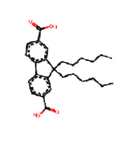 CCCCCCC1(CCCCCC)c2cc(C(=O)O)ccc2-c2ccc(C(=O)O)cc21